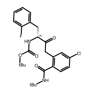 CC(C)(C)NC(=O)c1ccc(Cl)cc1CC(=O)[C@@H](Cc1ccccc1F)NC(=O)OC(C)(C)C